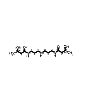 C[C@@H](O)CC(=O)NCCCNCCCNC(=O)C[C@@H](C)O